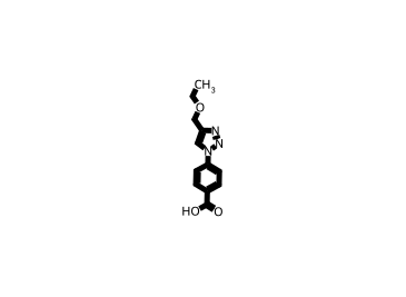 CCOCc1cn(-c2ccc(C(=O)O)cc2)nn1